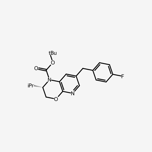 CC(C)[C@H]1COc2ncc(Cc3ccc(F)cc3)cc2N1C(=O)OC(C)(C)C